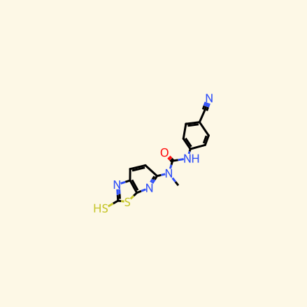 CN(C(=O)Nc1ccc(C#N)cc1)c1ccc2nc(S)sc2n1